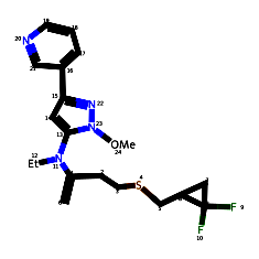 C=C(CCSCC1CC1(F)F)N(CC)c1cc(-c2cccnc2)nn1OC